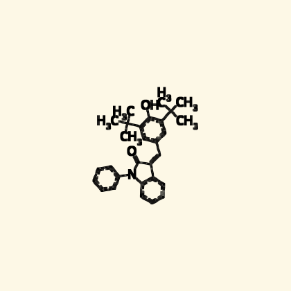 CC(C)(C)c1cc(C=C2C(=O)N(c3ccccc3)c3ccccc32)cc(C(C)(C)C)c1O